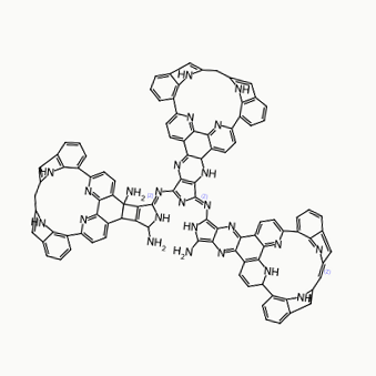 Nc1[nH]c(/N=C2N=C(/N=C3\NC(N)C4=C3C3(N)c5ccc6nc5-c5nc(ccc5C43)-c3cccc4cc([nH]c34)Cc3cc4cccc-6c4[nH]3)C3=C\2NC2C(=N3)c3ccc4nc3-c3nc(ccc32)-c2cccc3cc([nH]c23)Cc2cc3cccc-4c3[nH]2)c2nc3c(nc12)c1c2c4nc(ccc43)-c3cccc4c3=N/C(=C\c3cc5cccc(c5[nH]3)C(C=C1)N2)C=4